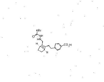 CCCCC(=O)NNC[C@H]1[C@@H](CCc2ccc(C(=O)O)cc2)[C@H]2CC[C@@H]1O2